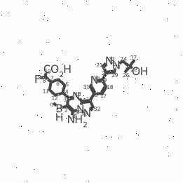 CBc1c(C2CCC(C(F)C(=O)O)CC2)nc2c(-c3ccc(-c4cnn(CC(C)(C)O)c4)nc3)cnn2c1N